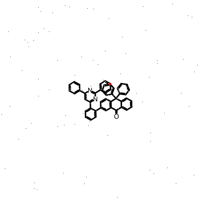 O=C1c2ccccc2C(c2ccccc2)(c2ccccc2)c2ccc(-c3ccccc3-c3cc(-c4ccccc4)nc(-c4ccccc4)n3)cc21